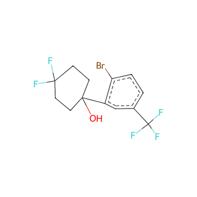 OC1(c2cc(C(F)(F)F)ccc2Br)CCC(F)(F)CC1